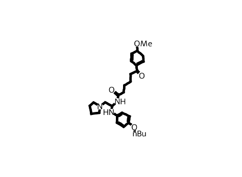 CCCCOc1ccc(NC(CN2CCCC2)NC(=O)CCCCC(=O)C2=CCC(OC)C=C2)cc1